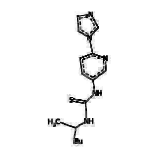 CCC(C)C(C)NC(=S)Nc1ccc(-n2ccnc2)nc1